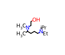 CCN(CCCC(C)N(C)CCO)C(C)C